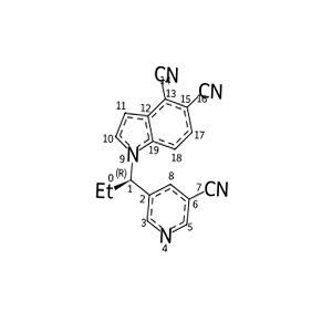 CC[C@H](c1cncc(C#N)c1)n1ccc2c(C#N)c(C#N)ccc21